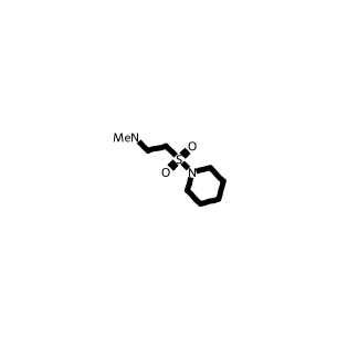 CNCCS(=O)(=O)N1CCCCC1